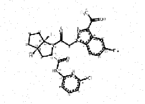 CC(=O)c1nn(CC(=O)N2[C@H](C(=O)Nc3cccc(Cl)n3)C[C@@H]3CCC[C@@H]32)c2ccc(F)cc12